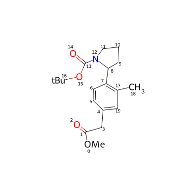 COC(=O)Cc1ccc(C2CCCN2C(=O)OC(C)(C)C)c(C)c1